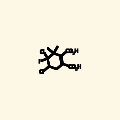 CC1(C)C(C(=O)O)=C(C(=O)O)CC(Cl)C1(F)Cl